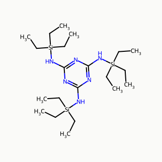 CC[Si](CC)(CC)Nc1nc(N[Si](CC)(CC)CC)nc(N[Si](CC)(CC)CC)n1